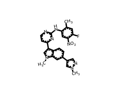 Cc1cc(F)c([N+](=O)[O-])cc1Nc1nccc(-c2cn(C)c3cc(-c4cnn(C)c4)ccc23)n1